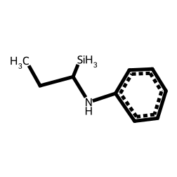 CCC([SiH3])Nc1ccccc1